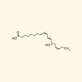 CC/C=C\C[C@H](O)/C=C/C=C\CCCCCCCC(=O)O